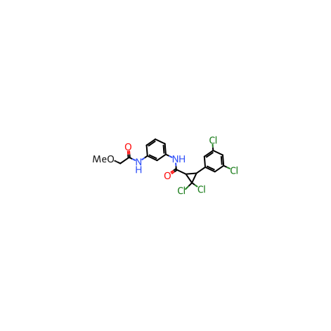 COCC(=O)Nc1cccc(NC(=O)C2C(c3cc(Cl)cc(Cl)c3)C2(Cl)Cl)c1